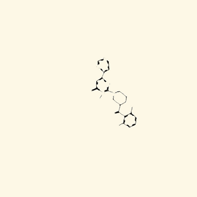 Cc1cccc(C)c1C(=O)C1CCCN(c2nc(-c3ccncn3)cc(=O)n2C)C1